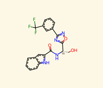 O=C(N[C@@H](CO)c1nc(-c2cccc(C(F)(F)F)c2)no1)c1cc2ccccc2[nH]1